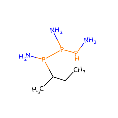 CCC(C)P(N)P(N)PN